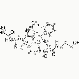 CCNC(=O)Nc1cc(-c2nc(C(F)(F)F)cs2)c(-c2ccc3c(=O)c(C(=O)NCCCO)cn(Cc4ccccc4)c3c2)cn1